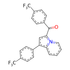 O=C(c1ccc(C(F)(F)F)cc1)c1cc(-c2ccc(C(F)(F)F)cc2)c2ccccn12